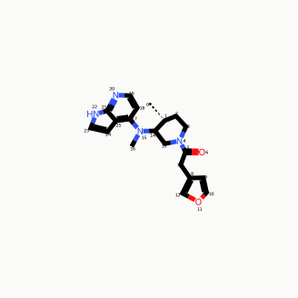 C[C@@H]1CCN(C(=O)Cc2ccoc2)CC1N(C)c1ccnc2[nH]ccc12